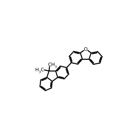 CC1(C)c2ccccc2-c2ccc(-c3ccc4oc5ccccc5c4c3)cc21